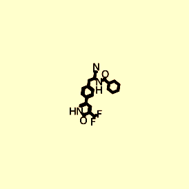 N#CC(Cc1ccc(-c2c[nH]c(=O)c(C(F)F)c2)cc1)NC(=O)C1CCCCC1